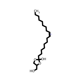 CCCCCCCC/C=C\CCCCCCCC1(O)OCC(CO)O1